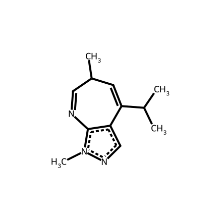 CC1C=Nc2c(cnn2C)C(C(C)C)=C1